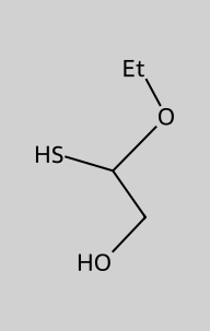 CCOC(S)CO